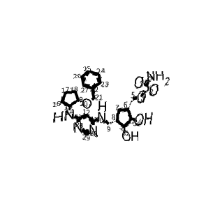 NS(=O)(=O)OC[C@H]1C[C@@H](CNc2cc(N[C@H]3CCC[C@@H]3OCc3ccccc3)ncn2)[C@H](O)[C@@H]1O